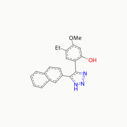 CCc1cc(-c2nn[nH]c2-c2ccc3ccccc3c2)c(O)cc1OC